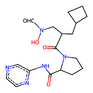 O=CN(O)CC(CC1CCC1)C(=O)N1CCCC1C(=O)Nc1cnccn1